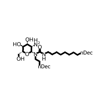 CCCCCCCCCCCCCCCCCCNC(=O)N(CCCCCCCCCCCC)[C@@H]1O[C@H](CO)[C@@H](O)[C@H](O)[C@@H]1N